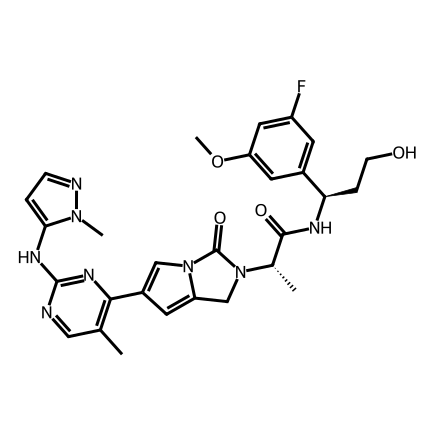 COc1cc(F)cc([C@@H](CCO)NC(=O)[C@H](C)N2Cc3cc(-c4nc(Nc5ccnn5C)ncc4C)cn3C2=O)c1